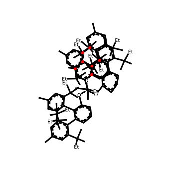 CCC(C)(C)c1cc(C)cc(C(C)(C)CC)c1-c1cccc(OP(Oc2cccc(-c3c(C(C)(C)CC)cc(C)cc3C(C)(C)CC)c2-c2c(C(C)(C)CC)cc(C)cc2C(C)(C)CC)Oc2cccc(-c3c(C(C)(C)CC)cc(C)cc3C(C)(C)CC)c2-c2c(C(C)(C)CC)cc(C)cc2C(C)(C)CC)c1-c1c(C(C)(C)CC)cc(C)cc1C(C)(C)CC